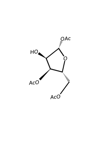 CC(=O)OC[C@H]1O[C@@H](OC(C)=O)[C@H](O)[C@@H]1OC(C)=O